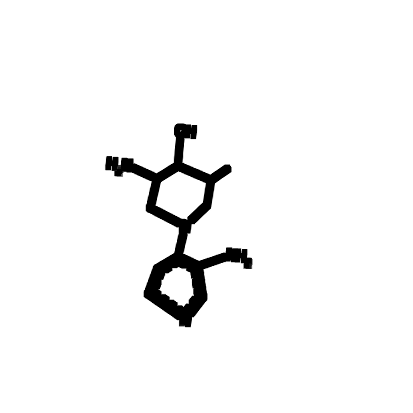 CC1CN(c2ccncc2N)CC(N)C1O